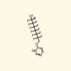 FC(F)(F)C(F)(F)C(F)(F)C(F)(F)C(F)(F)C(F)(F)C(F)(F)COP1N=PN=PN1